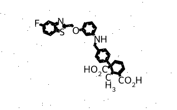 CC1C(C(=O)O)=CC=CC1(C(=O)O)c1ccc(CNc2cccc(OCc3nc4cc(F)ccc4s3)c2)cc1